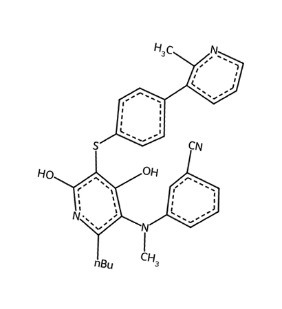 CCCCc1nc(O)c(Sc2ccc(-c3cccnc3C)cc2)c(O)c1N(C)c1cccc(C#N)c1